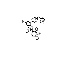 Cc1ccc(CN2CCN(c3cc(F)cc4c3CN(C3CCC(=O)NC3=O)C4=O)CC2)o1